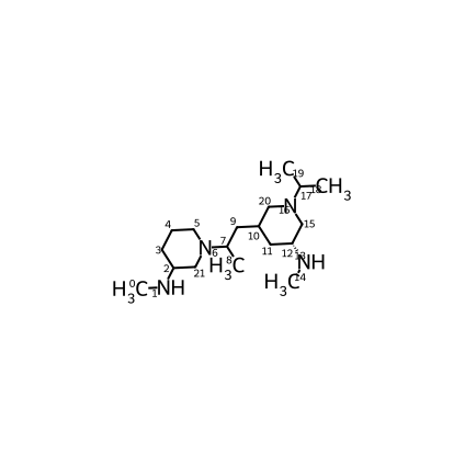 CNC1CCCN(C(C)CC2C[C@@H](NC)CN(C(C)C)C2)C1